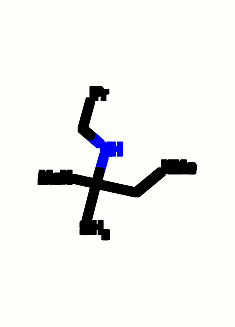 CNCC([SiH3])(NC)NCC(C)C